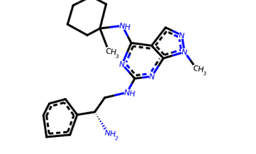 Cn1ncc2c(NC3(C)CCCCC3)nc(NC[C@H](N)c3ccccc3)nc21